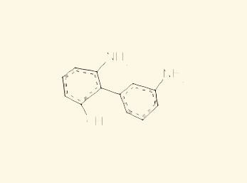 Cc1[c]ccc(N)c1-c1cccc(N)c1